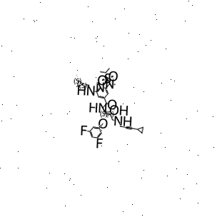 CC(C)S(=O)(=O)N(C)c1cc(C(=O)N[C@@H](COc2cc(F)cc(F)c2)[C@H](O)CNCC#CC2CC2)cc(NC[C@H]2C[C@@H]2C)n1